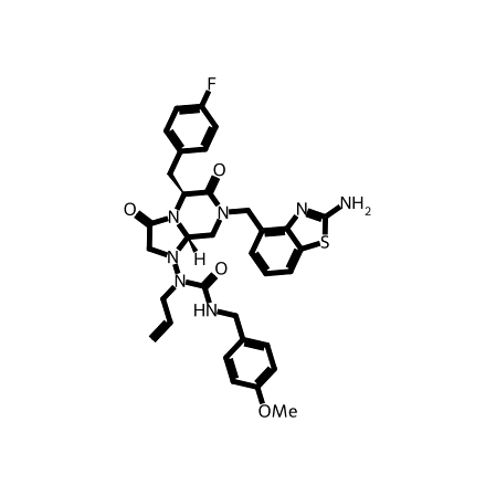 C=CCN(C(=O)NCc1ccc(OC)cc1)N1CC(=O)N2[C@@H](Cc3ccc(F)cc3)C(=O)N(Cc3cccc4sc(N)nc34)C[C@@H]21